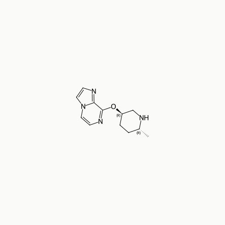 C[C@@H]1CC[C@@H](Oc2nccn3ccnc23)CN1